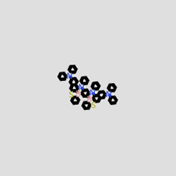 c1ccc(N(c2ccccc2)c2ccc3c4c5c(cc3c2)Sc2ccccc2B5c2cc3c(cc2N4c2ccccc2)N(c2ccccc2)c2c4c(cc5cc(N(c6ccccc6)c6ccccc6)ccc25)Sc2ccccc2B34)cc1